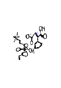 CCOP(=O)(O)OCC[N+](C)(C)C.O=C([O-])/C=C(/C(=O)O)c1ccccc1